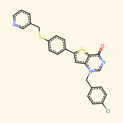 O=c1ncn(Cc2ccc(Cl)cc2)c2cc(-c3ccc(SCc4cccnc4)cc3)sc12